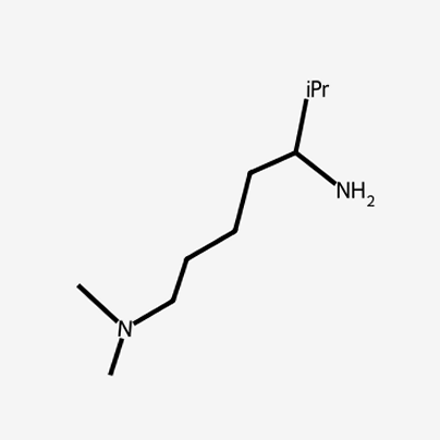 CC(C)C(N)CCCCN(C)C